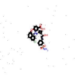 NS(=O)(=O)[C@H]1CCC[C@@H](/C=C/C(O)[C@@H]2CC[C@H]2CN2C[C@@]3(CCCc4cc(Cl)ccc43)COc3ccc(C(=O)O)cc32)C1